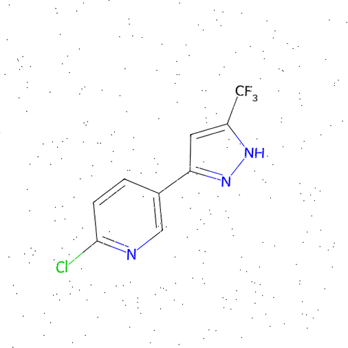 FC(F)(F)c1cc(-c2ccc(Cl)nc2)n[nH]1